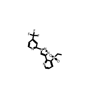 CCS(=O)(=O)c1cccnc1-c1cn(-c2cc(C(F)(F)F)ccn2)nn1